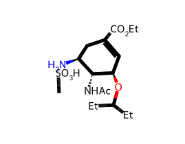 CCOC(=O)C1=C[C@@H](OC(CC)CC)[C@H](NC(C)=O)[C@@H](N)C1.CS(=O)(=O)O